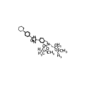 CC(C)(C)OC(=O)CCN(Cc1ccc(-c2noc(-c3ccc(C4CCCCC4)cc3)n2)cc1)C(=O)OC(C)(C)C